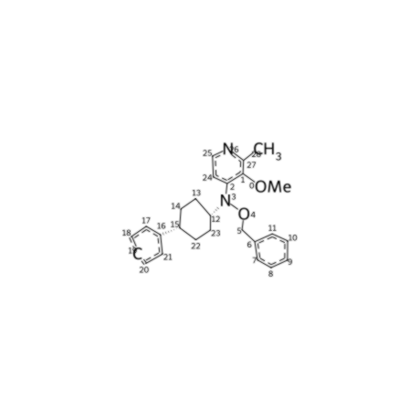 COc1c(N(OCc2ccccc2)[C@H]2CC[C@@H](c3ccccc3)CC2)ccnc1C